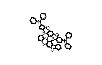 c1ccc(N(c2ccccc2)c2ccc3c(c2)Oc2cc4c5c6c2B3c2cccc3c2N6c2c(cc6oc7ccccc7c6c2B5c2ccc(N(c5ccccc5)c5ccccc5)cc2O4)S3)cc1